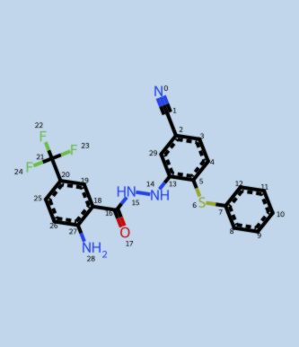 N#Cc1ccc(Sc2ccccc2)c(NNC(=O)c2cc(C(F)(F)F)ccc2N)c1